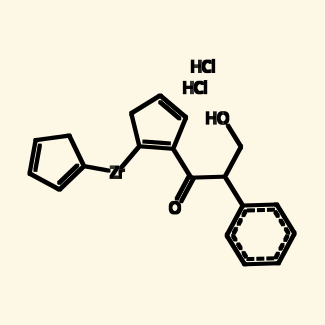 Cl.Cl.O=C(C1=[C]([Zr][C]2=CC=CC2)CC=C1)C(CO)c1ccccc1